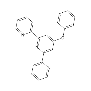 c1ccc(Oc2cc(-c3ccccn3)nc(-c3ccccn3)c2)cc1